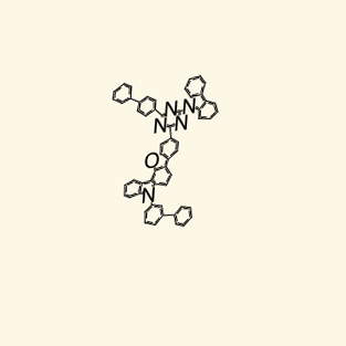 c1ccc(-c2ccc(-c3nc(-c4ccc5c(c4)oc4c5ccc5c4c4ccccc4n5-c4cccc(-c5ccccc5)c4)nc(-n4c5ccccc5c5ccccc54)n3)cc2)cc1